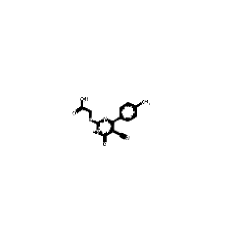 Cc1ccc(-c2nc(SCC(=O)O)[nH]c(=O)c2C#N)cc1